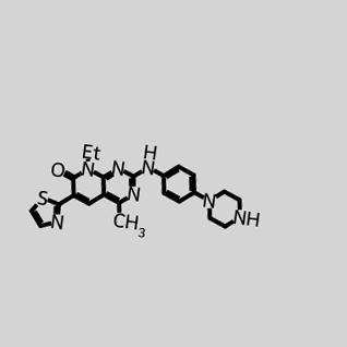 CCn1c(=O)c(-c2nccs2)cc2c(C)nc(Nc3ccc(N4CCNCC4)cc3)nc21